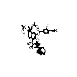 CC(=O)OCC1(C)C2C[C@H](OC(=O)c3ccc(C#N)c(F)c3)[C@@]3(C)Oc4cc(-c5cccnc5)oc(=O)c4[C@H](O)C3[C@@]2(C)CC[C@@H]1OC(C)=O